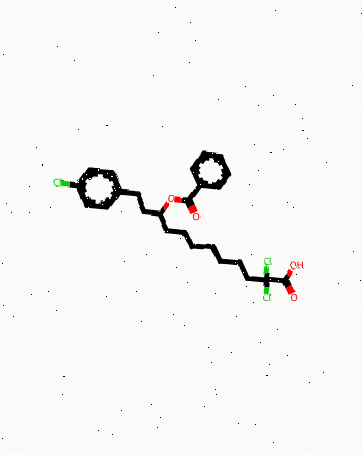 O=C(OC(CCCCCCCC(Cl)(Cl)C(=O)O)CCc1ccc(Cl)cc1)c1ccccc1